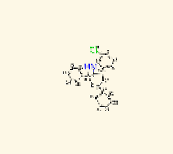 Clc1cccc2c1NC1C(c3ccccc3)CC(c3ccccc3)CC21